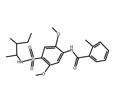 CCC(C)C(C)NS(=O)(=O)c1cc(OC)c(NC(=O)c2ccccc2C)cc1OC